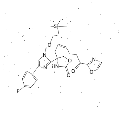 C[Si](C)(C)CCOCn1cc(-c2ccc(F)cc2)nc1C1(CC=CCCC(=O)c2ncco2)COC(=O)N1